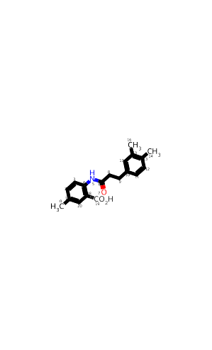 Cc1ccc(NC(=O)CCc2ccc(C)c(C)c2)c(C(=O)O)c1